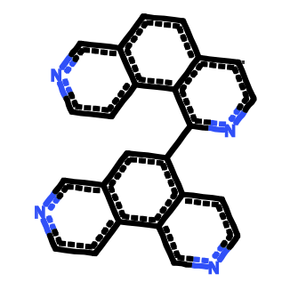 [c]1cnc(-c2cc3cnccc3c3cnccc23)c2c1ccc1cnccc12